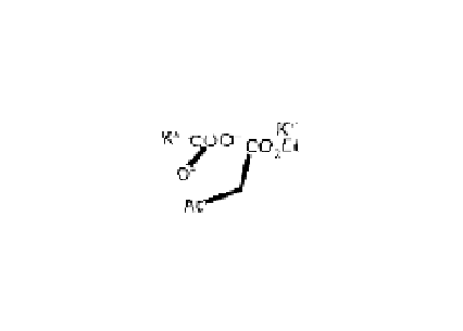 CCOC(=O)CC(C)=O.O=C([O-])[O-].[K+].[K+]